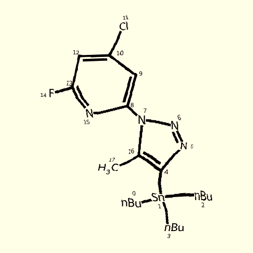 CCC[CH2][Sn]([CH2]CCC)([CH2]CCC)[c]1nnn(-c2cc(Cl)cc(F)n2)c1C